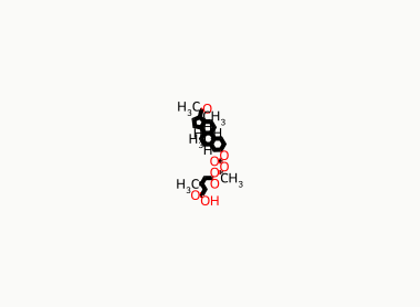 CC(=O)C1CC[C@H]2[C@@H]3CC[C@H]4C[C@H](OC(=O)OC(C)OC(=O)CC(C)CC(=O)O)CC[C@]4(C)[C@H]3CC[C@]12C